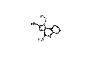 CCCCc1nc2c(N)nc3ccccc3c2n1OC(C)C